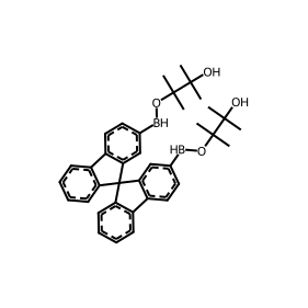 CC(C)(O)C(C)(C)OBc1ccc2c(c1)C1(c3ccccc3-2)c2ccccc2-c2ccc(BOC(C)(C)C(C)(C)O)cc21